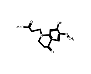 C=Nc1cc2c(cc1O)N(CCC(=O)OC)CCC2=O